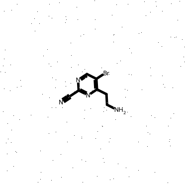 N#Cc1ncc(Br)c(CCN)n1